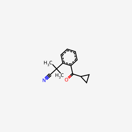 CC(C)(C#N)c1ccccc1C(=O)C1CC1